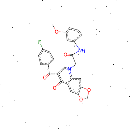 COc1cccc(NC(=O)Cn2cc(C(=O)c3ccc(F)cc3)c(=O)c3cc4c(cc32)OCO4)c1